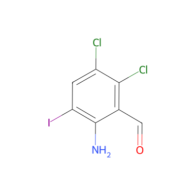 Nc1c(I)cc(Cl)c(Cl)c1C=O